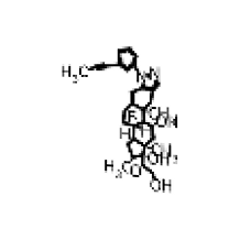 CC#Cc1cccc(-n2ncc3c2C=C2CC[C@H]4[C@@H]5C[C@@H](C)[C@](O)(C(=O)CO)[C@@]5(C)C[C@H](O)[C@]4(F)[C@@]2(C)C3)c1